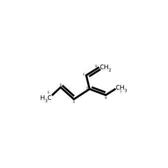 C=CC(/C=C/C)=C\C